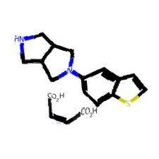 O=C(O)/C=C\C(=O)O.c1cc2cc(N3CC4CNCC4C3)ccc2s1